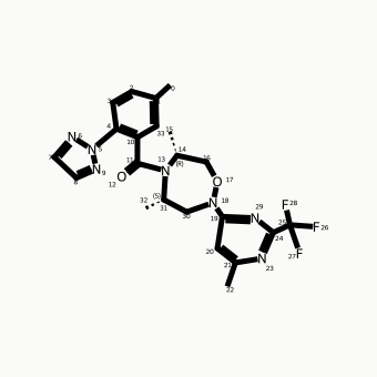 Cc1ccc(-n2nccn2)c(C(=O)N2[C@H](C)CON(c3cc(C)nc(C(F)(F)F)n3)C[C@@H]2C)c1